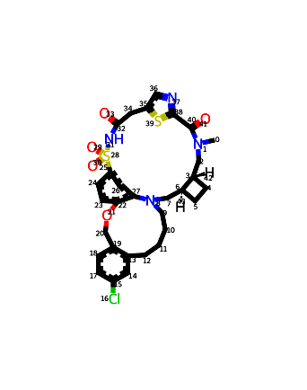 CN1C[C@@H]2CC[C@H]2CN2CCCCc3cc(Cl)ccc3COc3ccc(cc32)S(=O)(=O)NC(=O)Cc2cnc(s2)C1=O